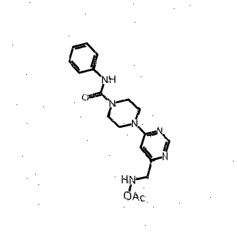 CC(=O)ONCc1cc(N2CCN(C(=O)Nc3ccccc3)CC2)ncn1